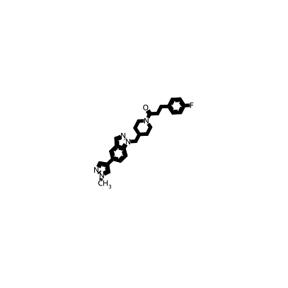 Cn1cc(-c2ccc3c(cnn3CC3CCN(C(=O)CCc4ccc(F)cc4)CC3)c2)cn1